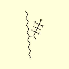 CCCCCCCC(CCCCCC)C(C)C(F)(F)C(C)(C)C(F)(F)F